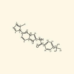 Cc1nccn1-c1ccc2nc(NC(=O)c3ccc(C(C)(C)C)cc3)cn2n1